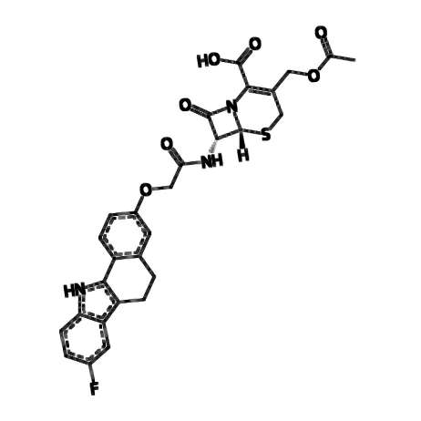 CC(=O)OCC1=C(C(=O)O)N2C(=O)[C@@H](NC(=O)COc3ccc4c(c3)CCc3c-4[nH]c4ccc(F)cc34)[C@H]2SC1